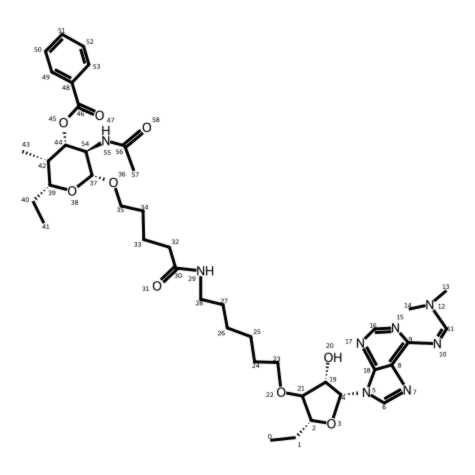 CC[C@H]1O[C@@H](n2cnc3c(/N=C\N(C)C)ncnc32)[C@@H](O)C1OCCCCCCNC(=O)CCCCO[C@@H]1O[C@H](CC)[C@H](C)[C@H](OC(=O)c2ccccc2)[C@H]1NC(C)=O